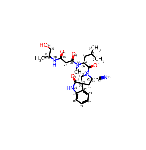 CC(C)C[C@@H](C(=O)N1C[C@]2(C[C@H]1C#N)C(=O)Nc1ccccc12)N(C)C(=O)CC(=O)N[C@@H](C)CO